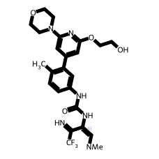 CN/C=C(/NC(=O)Nc1ccc(C)c(-c2cc(OCCO)nc(N3CCOCC3)c2)c1)C(=N)C(F)(F)F